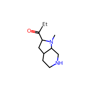 CCC(=O)C1CC2CCNCC2N1C